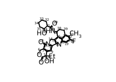 CC[C@@]1(O)C(=O)OCc2c1cc1n(c2=O)Cc2c-1nc1cc(F)c(C)c3c1c2[C@@H](NC(=O)C1CCCCC1O)CC3